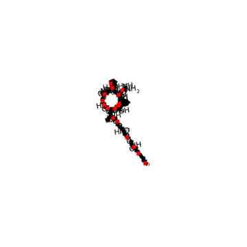 CCCCCCCCCCCC(=O)NCCOCCOCC(=O)NCCOCCOCC(=O)N[C@@H](CCCC)C(=O)N[C@H]1CCC(=O)NCCCC[C@@H](C(N)=O)NC(=O)[C@H](Cc2c[nH]c3ccccc23)NC(=O)[C@H](CCCNC(=N)N)NC(=O)C(Cc2ccccc2)NC(=O)[C@@H]2C[C@@H](O)CN2C1=O